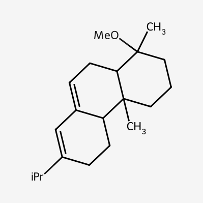 COC1(C)CCCC2(C)C3CCC(C(C)C)=CC3=CCC12